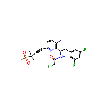 CC(C)(C#Cc1ccc(I)c(C(Cc2cc(F)cc(F)c2)NC(=O)CCl)n1)S(C)(=O)=O